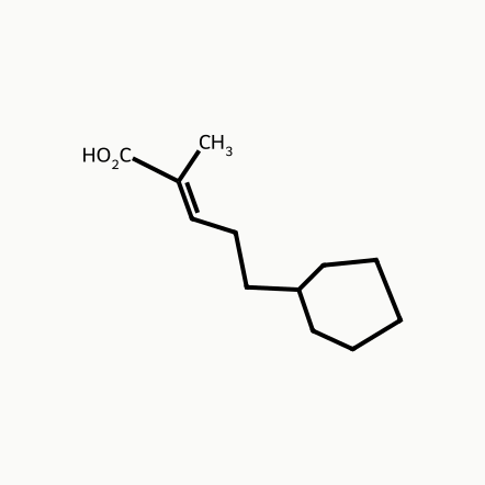 CC(=CCCC1CCCCC1)C(=O)O